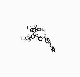 Cn1cc(-c2cc(S(C)(=O)=O)ccc2Oc2cccc(C(=O)N3CCN(CCn4ccnc4)CC3)c2)c2cc[nH]c2c1=O